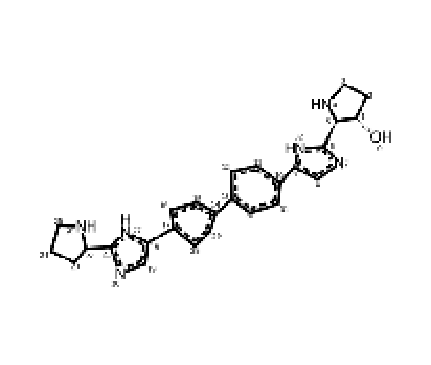 O[C@H]1CCN[C@@H]1c1ncc(-c2ccc(-c3ccc(-c4cnc(C5CCCN5)[nH]4)cc3)cc2)[nH]1